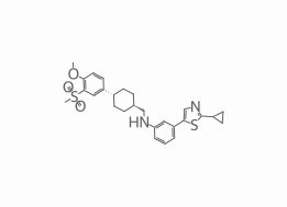 COc1ccc([C@H]2CC[C@H](CNc3cccc(-c4cnc(C5CC5)s4)c3)CC2)cc1S(C)(=O)=O